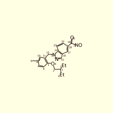 CCC(CC)COc1ccc(C)cc1Cn1ncc2cc(C(=O)N=O)ccc21